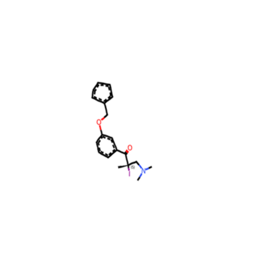 CN(C)C[C@](C)(I)C(=O)c1cccc(OCc2ccccc2)c1